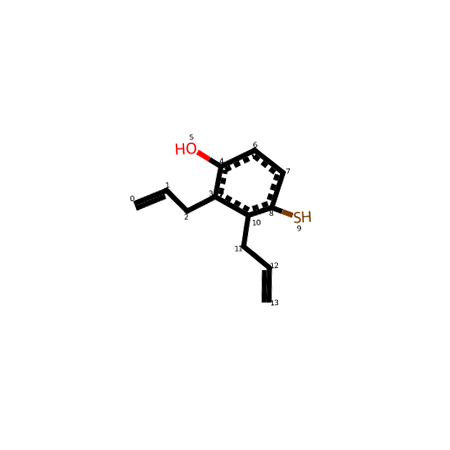 C=CCc1c(O)ccc(S)c1CC=C